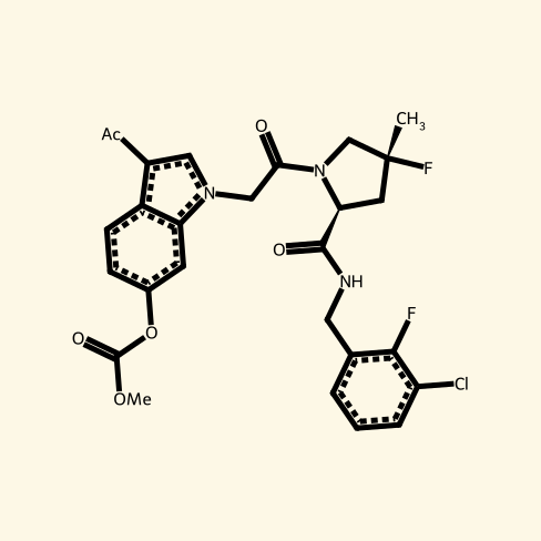 COC(=O)Oc1ccc2c(C(C)=O)cn(CC(=O)N3C[C@](C)(F)C[C@H]3C(=O)NCc3cccc(Cl)c3F)c2c1